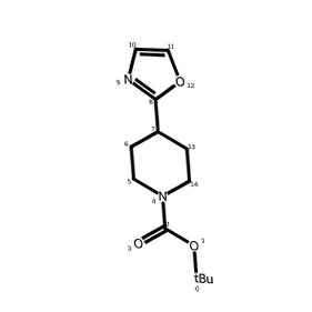 CC(C)(C)OC(=O)N1CCC(c2ncco2)CC1